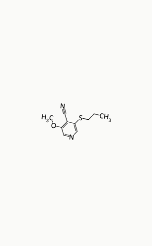 CCCSc1cncc(OC)c1C#N